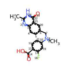 Cc1nc2ccc(CN(C)c3ccc(C(=O)O)c(F)c3)cc2c(=O)[nH]1